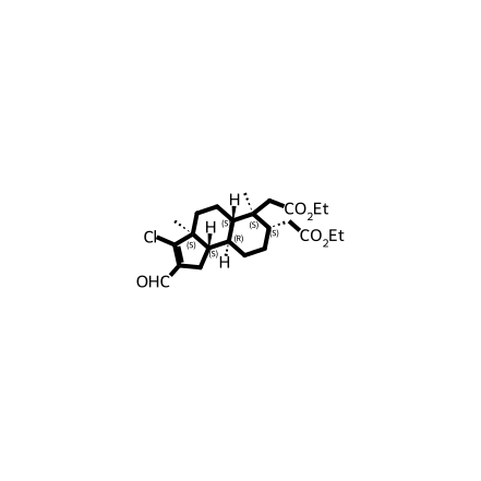 CCOC(=O)C[C@@H]1CC[C@@H]2[C@H](CC[C@]3(C)C(Cl)=C(C=O)C[C@@H]23)[C@@]1(C)CC(=O)OCC